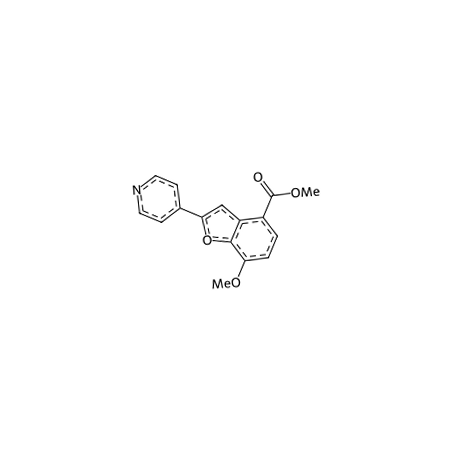 COC(=O)c1ccc(OC)c2oc(-c3ccncc3)cc12